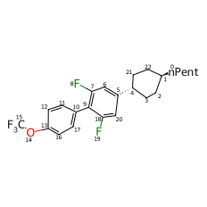 CCCCC[C@H]1CC[C@H](c2cc(F)c(-c3ccc(OC(F)(F)F)cc3)c(F)c2)CC1